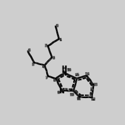 CCCCC(CC)Cc1nc2ccccc2[nH]1